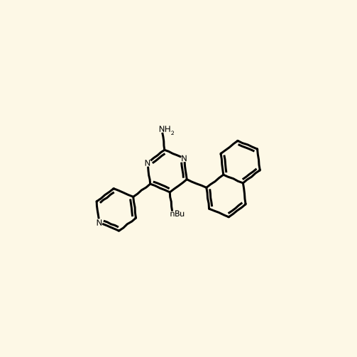 CCCCc1c(-c2ccncc2)nc(N)nc1-c1cccc2ccccc12